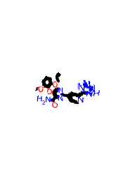 C=CCOc1nc(-c2ccnc(-c3nnn[nH]3)c2)nc(C(N)=O)c1Oc1ccccc1OC